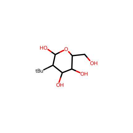 CC(C)(C)C1C(O)OC(CO)C(O)C1O